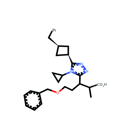 CC(C)C[C@H]1C[C@@H](c2nnc(C(CCOCc3ccccc3)C(C)C(=O)O)n2C2CC2)C1